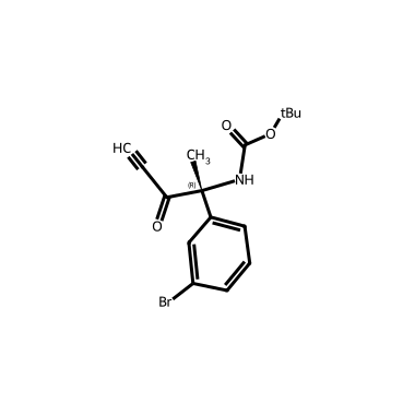 C#CC(=O)[C@](C)(NC(=O)OC(C)(C)C)c1cccc(Br)c1